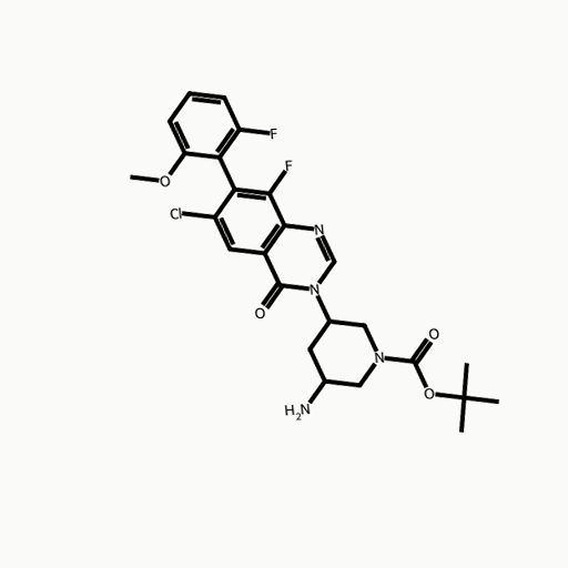 COc1cccc(F)c1-c1c(Cl)cc2c(=O)n(C3CC(N)CN(C(=O)OC(C)(C)C)C3)cnc2c1F